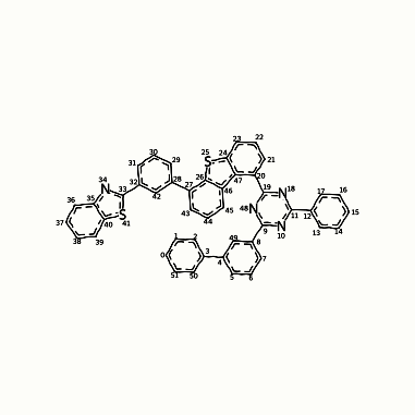 c1ccc(-c2cccc(-c3nc(-c4ccccc4)nc(-c4cccc5sc6c(-c7cccc(-c8nc9ccccc9s8)c7)cccc6c45)n3)c2)cc1